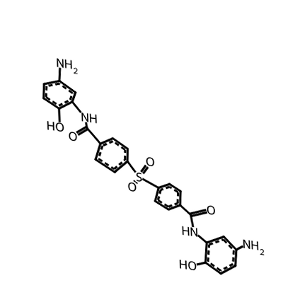 Nc1ccc(O)c(NC(=O)c2ccc(S(=O)(=O)c3ccc(C(=O)Nc4cc(N)ccc4O)cc3)cc2)c1